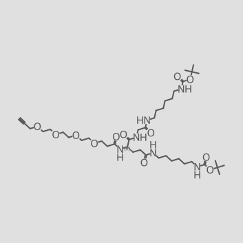 C#CCOCCOCCOCCOCCC(=O)N[C@H](CCC(=O)NCCCCCCNC(=O)OC(C)(C)C)C(=O)NCC(=O)NCCCCCCNC(=O)OC(C)(C)C